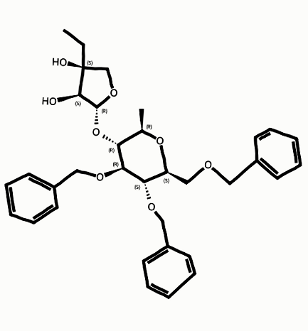 CC[C@]1(O)CO[C@H](O[C@H]2[C@H](OCc3ccccc3)[C@@H](OCc3ccccc3)[C@H](COCc3ccccc3)O[C@@H]2C)[C@H]1O